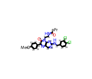 CCCC(=O)NCCn1c(=O)c(-c2ccc(OC)cc2)nc2cnc(NCc3ccc(Cl)c(Cl)c3)nc21